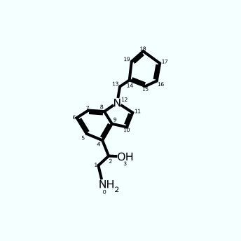 NCC(O)c1cccc2c1ccn2Cc1ccccc1